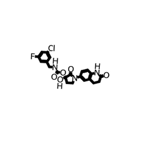 O=C1CCc2cc(N3CCC(O)(OC(=O)NCc4cc(F)cc(Cl)c4)C3=O)ccc2N1